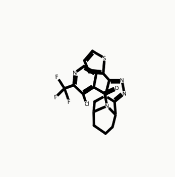 O=C(c1ccnc(C(F)(F)F)c1Cl)N1C2CCCC1c1nnc(-c3cccs3)n1C2